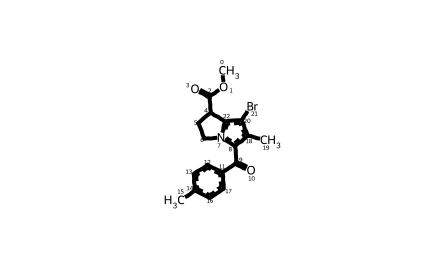 COC(=O)C1CCn2c(C(=O)c3ccc(C)cc3)c(C)c(Br)c21